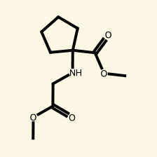 COC(=O)CNC1(C(=O)OC)CCCC1